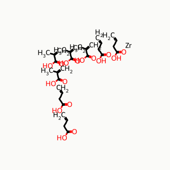 C=C(C)C(=O)O.C=C(C)C(=O)O.C=C(C)C(=O)O.C=C(C)C(=O)O.C=CCC(=O)O.C=CCC(=O)O.C=CCC(=O)O.C=CCC(=O)O.[Zr]